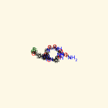 NCCOCCNC(=O)[C@@H]1CCNC(=O)/C=C/C(=O)N2CCC[C@](Cc3ccccc3)(C2)C(=O)N[C@@H](Cc2ccc(-c3ccc(CCC(=O)C(F)(F)F)cc3)cc2)C(=O)NCc2ccccc2CC(=O)N1